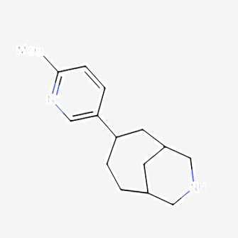 COc1ccc(C2CCC3CNCC(C3)C2)cn1